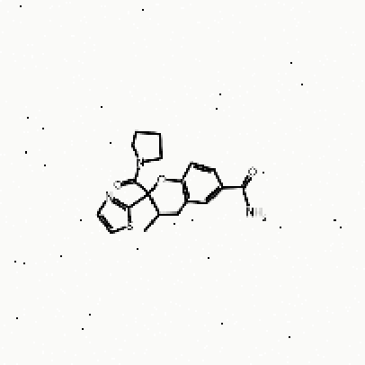 CC1Cc2cc(C(N)=O)ccc2OC1(C(=O)N1CCCC1)c1nccs1